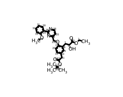 CCOC(=O)[C@H](O)Cc1cc(CC(=O)OC(C)(C)C)ccc1OCc1ccnc(-c2ccccc2OC)n1